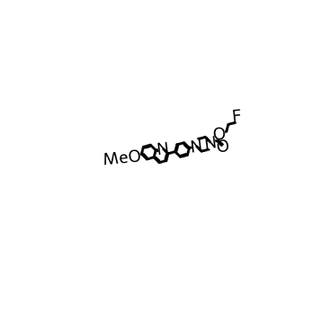 COc1ccc2nc(-c3ccc(N4CCN(C(=O)OCCCF)CC4)cc3)ccc2c1